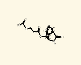 CC(C)C(=O)OCCC(=O)Oc1c2c3oc1cc3C(=O)O2